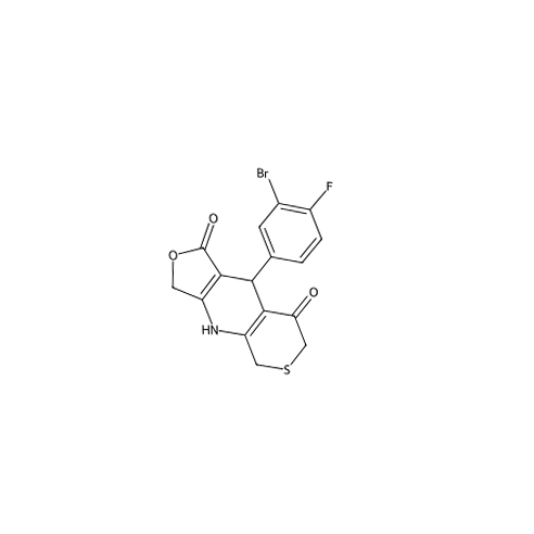 O=C1CSCC2=C1C(c1ccc(F)c(Br)c1)C1=C(COC1=O)N2